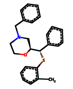 Cc1ccccc1S[C@@H](c1ccccc1)[C@@H]1CN(Cc2ccccc2)CCO1